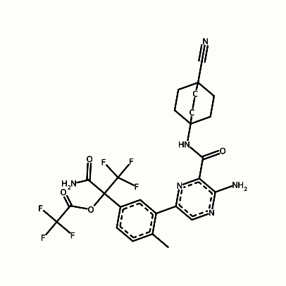 Cc1ccc(C(OC(=O)C(F)(F)F)(C(N)=O)C(F)(F)F)cc1-c1cnc(N)c(C(=O)NC23CCC(C#N)(CC2)CC3)n1